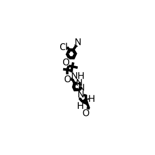 CC1(C)C(NC(=O)c2ccc(N3C[C@@H]4C(C=O)[C@@H]4C3)nn2)C(C)(C)C1Oc1ccc(C#N)c(Cl)c1